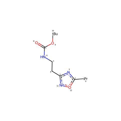 CC(C)c1nc(CCNC(=O)OC(C)(C)C)no1